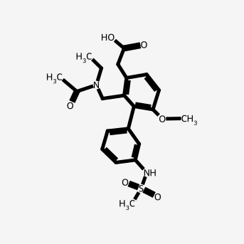 CCN(Cc1c(CC(=O)O)ccc(OC)c1-c1cccc(NS(C)(=O)=O)c1)C(C)=O